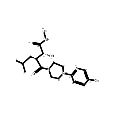 CC(C)C[C@H](C(=O)N1CCN(c2ccc(Cl)cn2)CC1)[C@@H](O)C(=O)NO